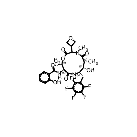 C[C@H]1OC(=O)C(C2COC2)N(C)C(=O)[C@H](C)[C@H](O)[C@H](Cc2c(F)c(F)c(F)c(F)c2F)NC(=O)[C@H]1NC(=O)c1ccccc1O